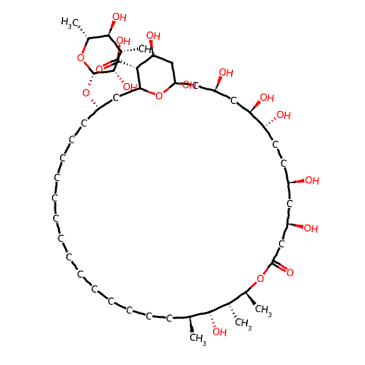 C[C@@H]1[C@H](O)[C@H](O[C@H]2CCCCCCCCCCCCCC[C@H](C)[C@@H](O)[C@@H](C)[C@H](C)OC(=O)C[C@H](O)C[C@H](O)CC[C@@H](O)[C@H](O)C[C@H](O)C[C@]3(O)C[C@H](O)[C@@H](C(=O)O)C(C2)O3)O[C@H](C)[C@H]1O